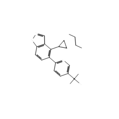 CCC(N)(CC)c1ccc(-c2ccc3[nH]ncc3c2C2CC2)nc1.O=C(O)CCC(=O)O